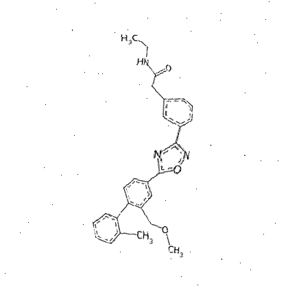 CCNC(=O)Cc1cccc(-c2noc(-c3ccc(-c4ccccc4C)c(COC)c3)n2)c1